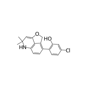 CC1(C)C=C2OCc3c(-c4ccc(Cl)cc4O)ccc(c32)N1